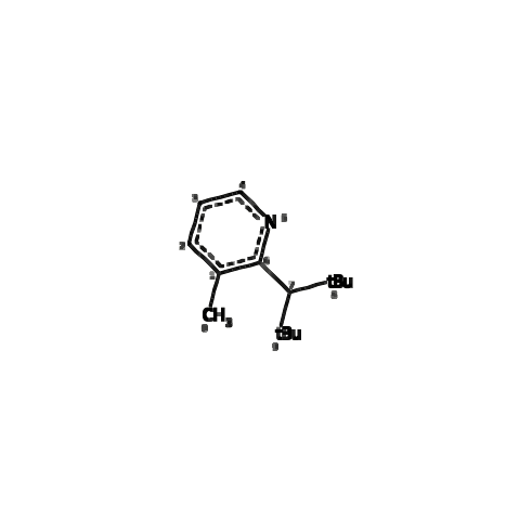 Cc1cccnc1C(C(C)(C)C)C(C)(C)C